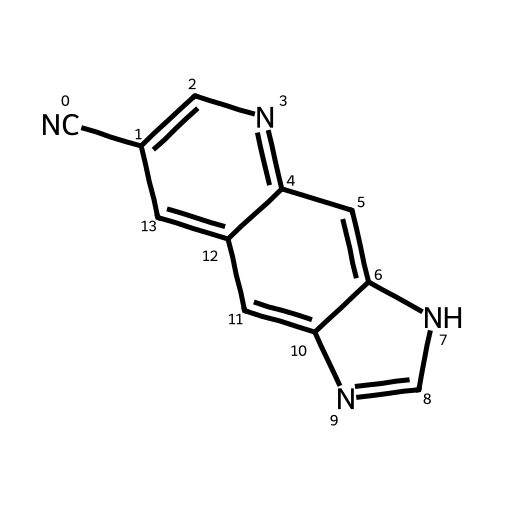 N#Cc1cnc2cc3[nH]cnc3cc2c1